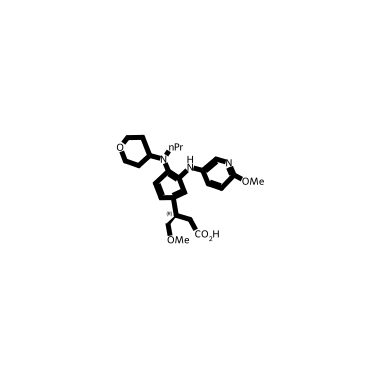 CCCN(c1ccc([C@H](COC)CC(=O)O)cc1Nc1ccc(OC)nc1)C1CCOCC1